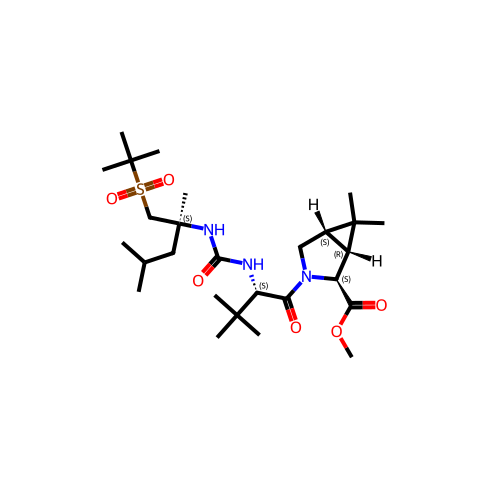 COC(=O)[C@@H]1[C@@H]2[C@H](CN1C(=O)[C@@H](NC(=O)N[C@@](C)(CC(C)C)CS(=O)(=O)C(C)(C)C)C(C)(C)C)C2(C)C